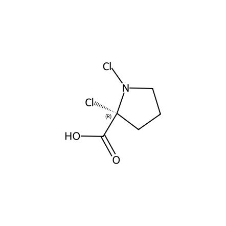 O=C(O)[C@]1(Cl)CCCN1Cl